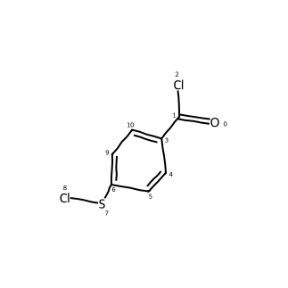 O=C(Cl)c1ccc(SCl)cc1